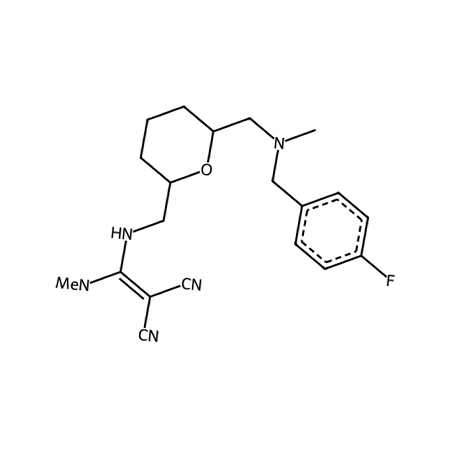 CNC(NCC1CCCC(CN(C)Cc2ccc(F)cc2)O1)=C(C#N)C#N